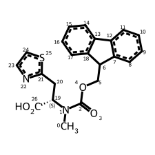 CN(C(=O)OCC1c2ccccc2-c2ccccc21)[C@@H](Cc1nccs1)C(=O)O